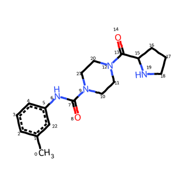 Cc1cccc(NC(=O)N2CCN(C(=O)C3CCCN3)CC2)c1